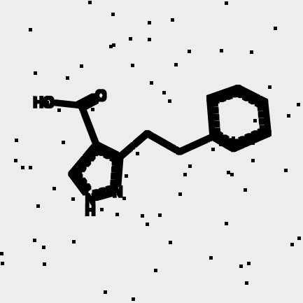 O=C(O)c1c[nH]nc1CCc1ccccc1